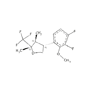 COc1c([C@@H]2CO[C@](C)(C(F)(F)F)[C@H]2C)ccc(F)c1F